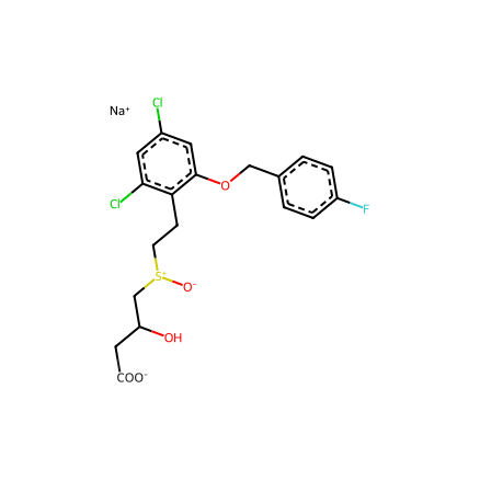 O=C([O-])CC(O)C[S+]([O-])CCc1c(Cl)cc(Cl)cc1OCc1ccc(F)cc1.[Na+]